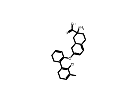 CC1=CCCC(C2=C(OC3=CC=C4CCC(N)(C(=O)O)CC4C3)C=CCC2)=C1Cl